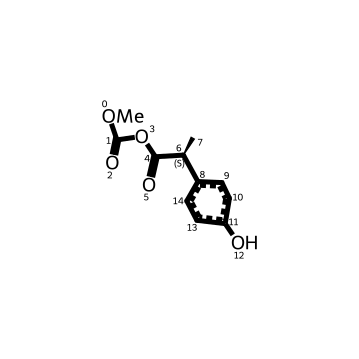 COC(=O)OC(=O)[C@@H](C)c1ccc(O)cc1